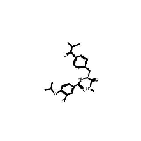 CNC(=O)[C@H](Cc1ccc(C(=O)C(C)C)cc1)NC(=O)c1ccc(OC(C)C)c(Cl)c1